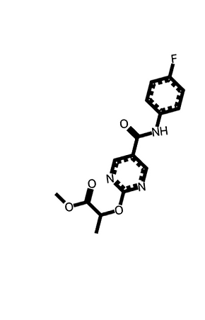 COC(=O)C(C)Oc1ncc(C(=O)Nc2ccc(F)cc2)cn1